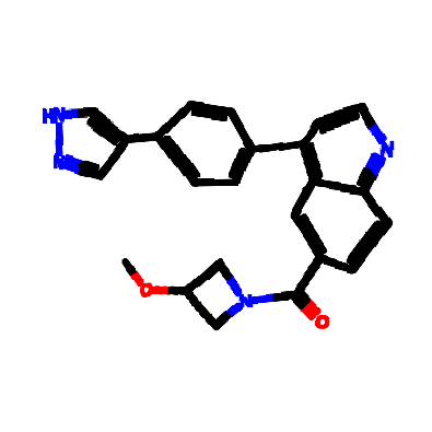 COC1CN(C(=O)c2ccc3nccc(-c4ccc(-c5cn[nH]c5)cc4)c3c2)C1